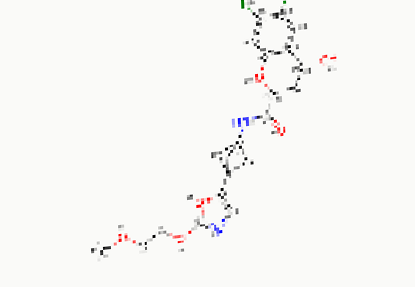 O=C(NC12CC(c3cnc(OCCOC(F)(F)F)o3)(C1)C2)[C@H]1C[C@@H](O)c2cc(Cl)c(F)cc2O1